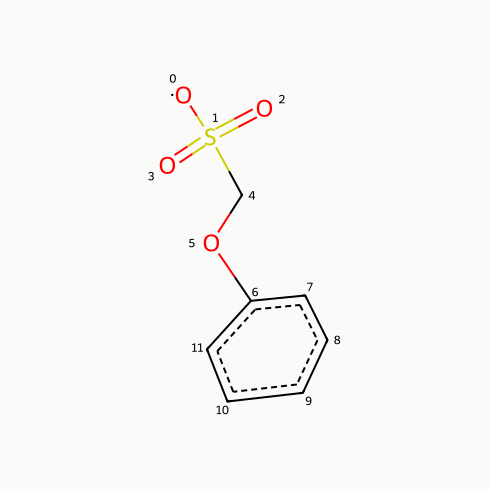 [O]S(=O)(=O)COc1ccccc1